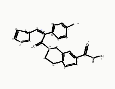 O=C(NO)c1ccc2c(c1)CN(C(=O)/C(=C\c1cccnc1)c1ccc(F)cc1)CC2